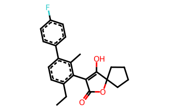 CCc1ccc(-c2ccc(F)cc2)c(C)c1C1=C(O)C2(CCCC2)OC1=O